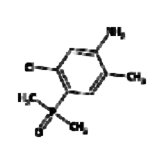 Cc1cc(P(C)(C)=O)c(Cl)cc1N